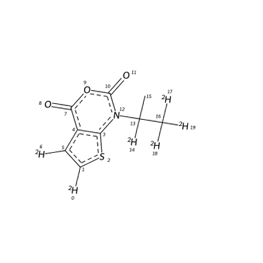 [2H]c1sc2c(c1[2H])c(=O)oc(=O)n2C([2H])(C)C([2H])([2H])[2H]